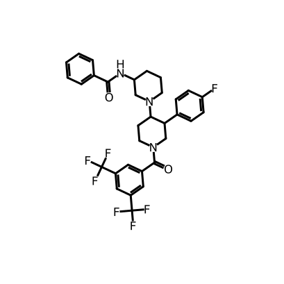 O=C(NC1CCCN(C2CCN(C(=O)c3cc(C(F)(F)F)cc(C(F)(F)F)c3)CC2c2ccc(F)cc2)C1)c1ccccc1